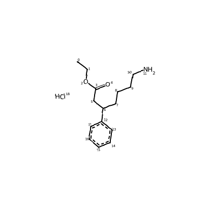 CCOC(=O)CC(CCCCN)c1ccccc1.Cl